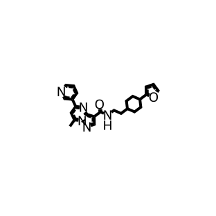 Cc1cc(-c2cccnc2)nc2c(C(=O)NCCC3CCC(c4ccco4)CC3)cnn12